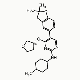 CC1CCC(Nc2ncc(-c3ccc4c(c3)CC(C)(C)O4)c(O[C@@H]3CCOC3)n2)CC1